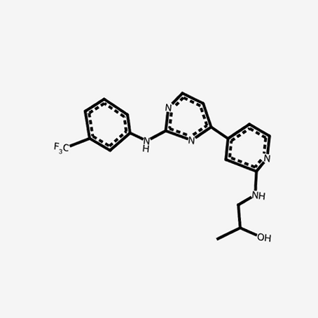 CC(O)CNc1cc(-c2ccnc(Nc3cccc(C(F)(F)F)c3)n2)ccn1